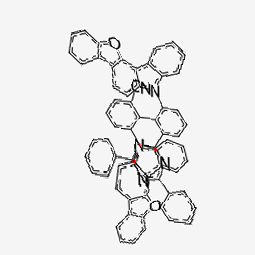 N#Cc1cccc(-n2c3ccccc3c3c4oc5ccccc5c4ccc32)c1-c1c(-c2nc(-c3ccccc3)nc(-c3ccccc3)n2)cccc1-n1c2ccccc2c2c3oc4ccccc4c3ccc21